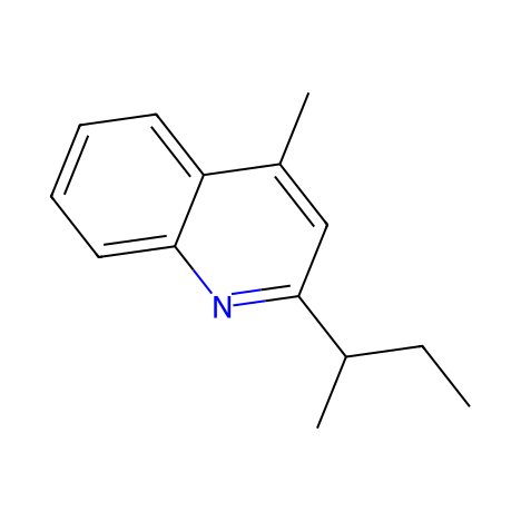 CCC(C)c1cc(C)c2ccccc2n1